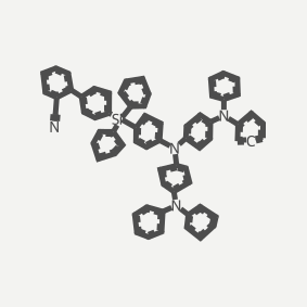 N#Cc1ccccc1-c1ccc([Si](c2ccccc2)(c2ccccc2)c2ccc(N(c3ccc(N(c4ccccc4)c4ccccc4)cc3)c3ccc(N(c4ccccc4)c4ccccc4)cc3)cc2)cc1